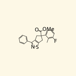 COC(=O)C1(c2cccc(F)c2C)Cc2snc(-c3ccccc3)c2C1